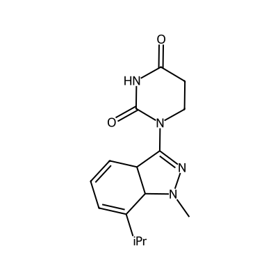 CC(C)C1=CC=CC2C(N3CCC(=O)NC3=O)=NN(C)C12